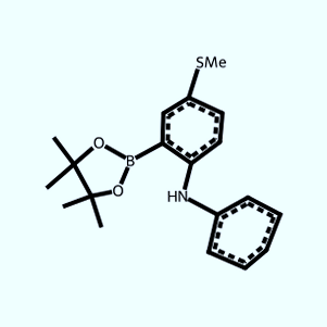 CSc1ccc(Nc2ccccc2)c(B2OC(C)(C)C(C)(C)O2)c1